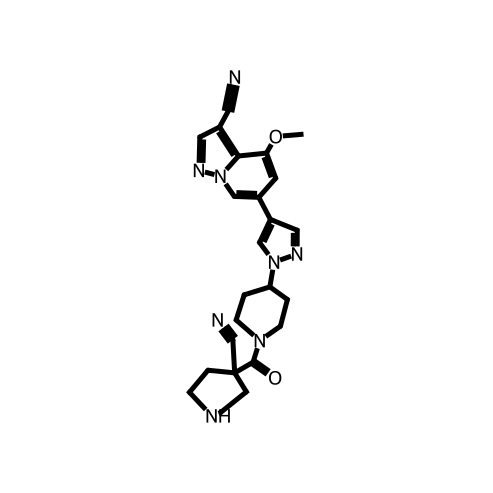 COc1cc(-c2cnn(C3CCN(C(=O)C4(C#N)CCNCC4)CC3)c2)cn2ncc(C#N)c12